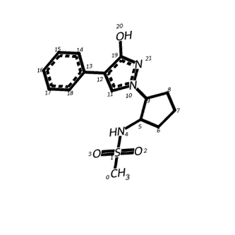 CS(=O)(=O)NC1CCCC1n1cc(-c2ccccc2)c(O)n1